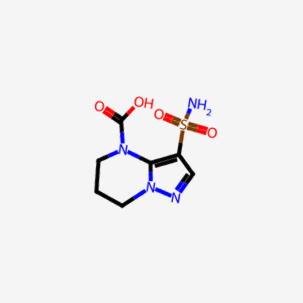 NS(=O)(=O)c1cnn2c1N(C(=O)O)CCC2